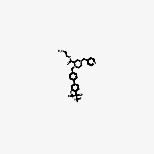 NCCOC(=O)C1CN(Cc2ccncc2)CCN1Cc1ccc(-c2ccc(C(O)(C(F)(F)F)C(F)(F)F)cc2)cc1